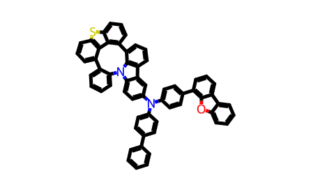 c1ccc(-c2ccc(N(c3ccc(-c4cccc5c4oc4ccccc45)cc3)c3ccc4c(c3)c3cccc5c6cccc7sc8cccc(c9ccccc9n4c53)c8c76)cc2)cc1